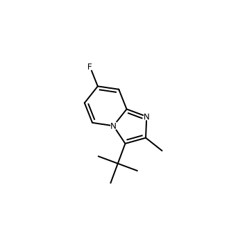 Cc1nc2cc(F)ccn2c1C(C)(C)C